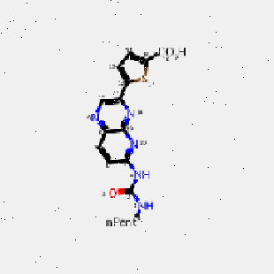 CCCCCNC(=O)Nc1ccc2ncc(-c3ccc(C(=O)O)s3)nc2n1